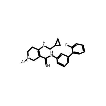 CC(=O)N1CCC(NCC2CC2)=C(C(=N)Nc2cccc(-c3ccccc3F)c2)C1